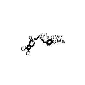 COc1ccc(CCCN(C)CCCN2CCc3cc(Cl)c(Cl)cc3CC2=O)cc1OC